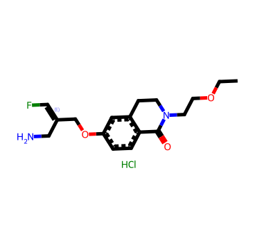 CCOCCN1CCc2cc(OC/C(=C/F)CN)ccc2C1=O.Cl